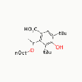 CCCCCCCCOC(C)c1c(C(=O)O)cc(C(C)(C)C)c(O)c1C(C)(C)C